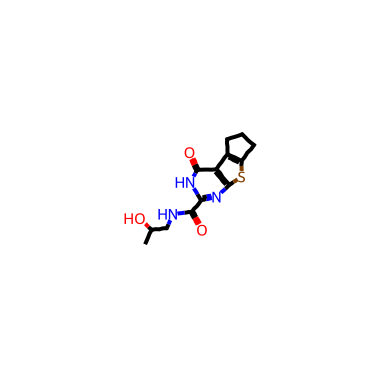 CC(O)CNC(=O)c1nc2sc3c(c2c(=O)[nH]1)CCC3